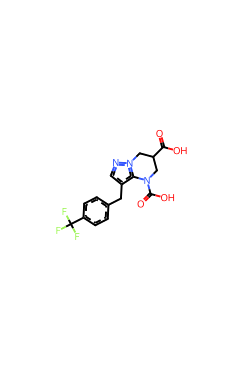 O=C(O)C1CN(C(=O)O)c2c(Cc3ccc(C(F)(F)F)cc3)cnn2C1